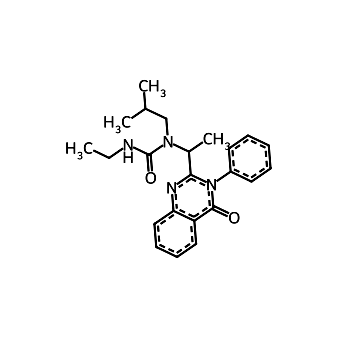 CCNC(=O)N(CC(C)C)C(C)c1nc2ccccc2c(=O)n1-c1ccccc1